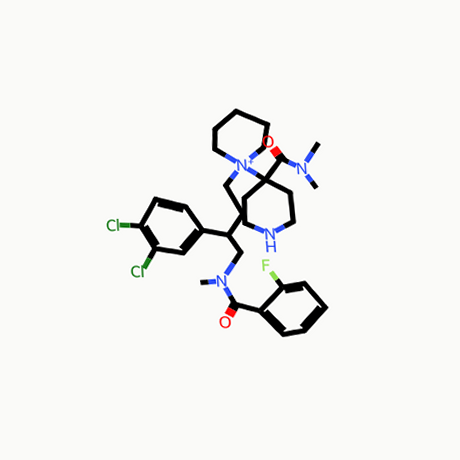 CN(C)C(=O)C1([N+]2(CCC(CN(C)C(=O)c3ccccc3F)c3ccc(Cl)c(Cl)c3)CCCCC2)CCNCC1